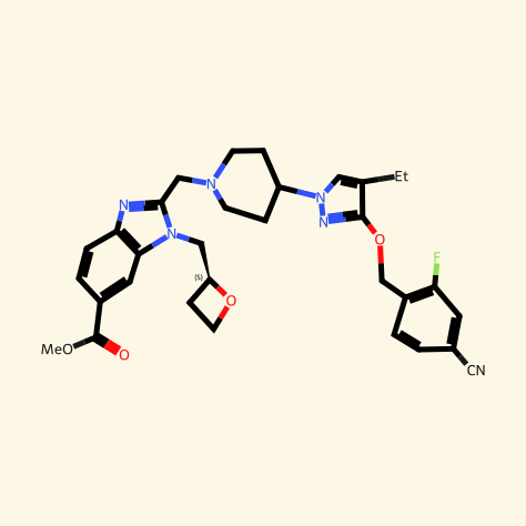 CCc1cn(C2CCN(Cc3nc4ccc(C(=O)OC)cc4n3C[C@@H]3CCO3)CC2)nc1OCc1ccc(C#N)cc1F